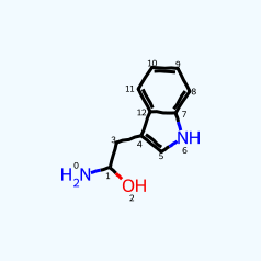 NC(O)Cc1c[nH]c2ccccc12